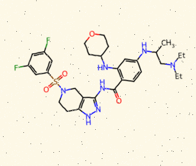 CCN(CC)CC(C)Nc1ccc(C(=O)Nc2n[nH]c3c2CN(S(=O)(=O)c2cc(F)cc(F)c2)CC3)c(NC2CCOCC2)c1